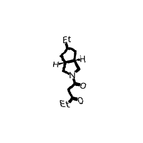 CCC(=O)CC(=O)N1C[C@H]2CC(CC)C[C@H]2C1